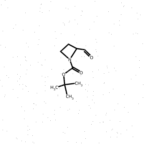 CC(C)(C)OC(=O)N1CCC1C=O